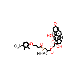 CC(=O)NC(CSC(=O)CCCOc1ccc([N+](=O)[O-])c(C)c1C)C(=O)OCC(=O)[C@@]1(O)CC[C@H]2[C@@H]3CCC4=CC(=O)CC[C@]4(C)[C@H]3[C@@H](O)C[C@@]21C